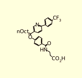 CCCCCCCC[C@@H](Oc1ccc(C(=O)NCCC(=O)O)cc1)c1ccc(-c2ccc(C(F)(F)F)cc2)nc1